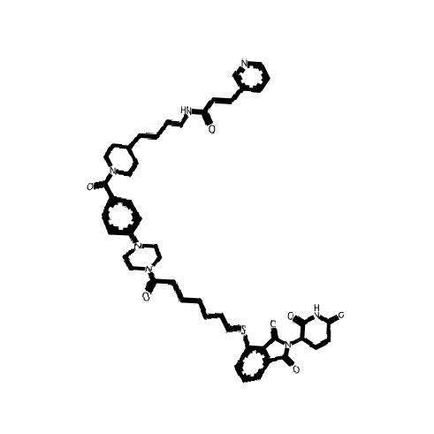 O=C(/C=C/c1cccnc1)NCCCCC1CCN(C(=O)c2ccc(N3CCN(C(=O)CCCCCCSc4cccc5c4C(=O)N(C4CCC(=O)NC4=O)C5=O)CC3)cc2)CC1